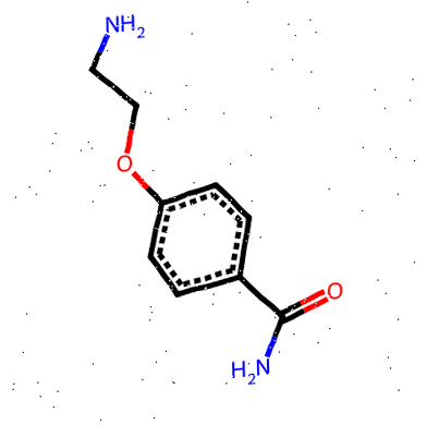 NCCOc1ccc(C(N)=O)cc1